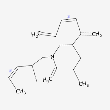 C=C/C=C\C(=C)C(CCC)CN(C=C)CC(I)/C=C\C